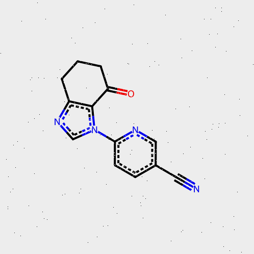 N#Cc1ccc(-n2cnc3c2C(=O)CCC3)nc1